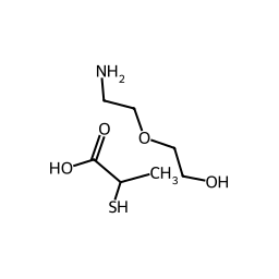 CC(S)C(=O)O.NCCOCCO